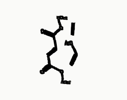 C=C.C=COC(C)=O.CCCCCCCCOC(=O)C=CC(=O)OCCCCCCCC